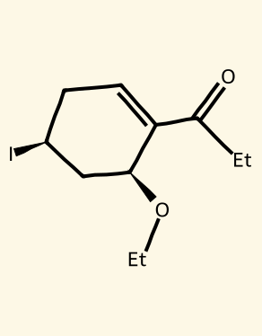 CCO[C@H]1C[C@@H](I)CC=C1C(=O)CC